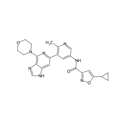 Cc1ncc(NC(=O)c2cc(C3CC3)on2)cc1-c1cc2[nH]cnc2c(N2CCOCC2)n1